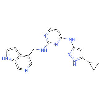 c1cc(Nc2cc(C3CC3)[nH]n2)nc(NCc2cncc3[nH]ccc23)n1